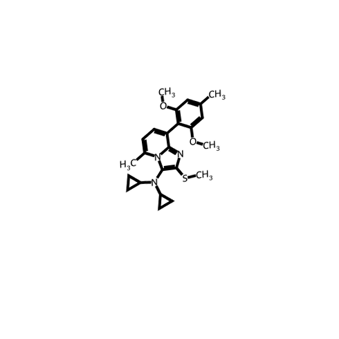 COc1cc(C)cc(OC)c1-c1ccc(C)n2c(N(C3CC3)C3CC3)c(SC)nc12